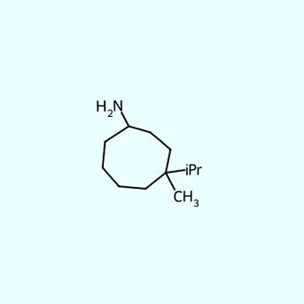 CC(C)C1(C)CCCCC(N)CC1